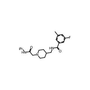 Cc1cc(F)cc(C(=O)NCC2CCN(CC(=O)NC(C)C)CC2)c1